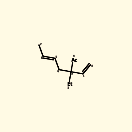 C=CC(CC)(CC=CC)C(C)=O